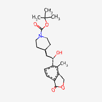 Cc1c(C(O)CC2CCN(C(=O)OC(C)(C)C)CC2)ccc2c1COC2=O